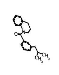 CC(C)Cc1cccc(C(=O)N2CCCc3ccccc32)c1